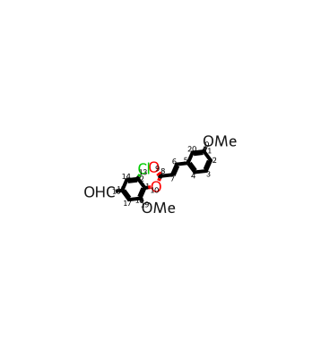 COc1cccc(/C=C/C(=O)Oc2c(Cl)cc(C=O)cc2OC)c1